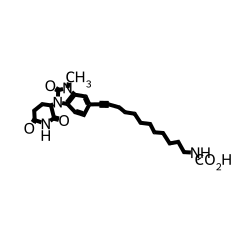 Cn1c(=O)n(C2CCC(=O)NC2=O)c2ccc(C#CCCCCCCCCCCNC(=O)O)cc21